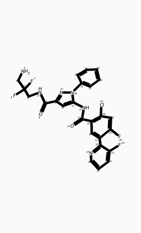 NCC(F)(F)CNC(=O)c1cc(NC(=O)c2cc(-c3ncccc3F)c(F)cc2Cl)n(-c2ccccc2)n1